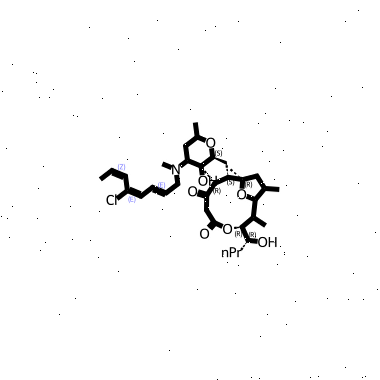 C\C=C/C(Cl)=C\C=C\CN(C)C1CC(C)O[C@@H](C[C@H]2[C@@H](C)C(=O)CC(=O)O[C@@H]([C@H](O)CCC)C(C)C3O[C@]2(C)CC3C)C1O